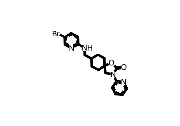 O=C1OC2(CCC(CNc3ccc(Br)cn3)CC2)CN1c1ccccn1